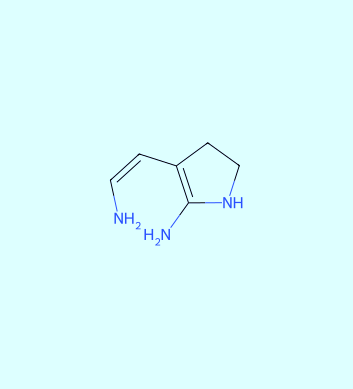 N/C=C\C1=C(N)NCC1